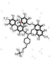 [2H]c1c([2H])c(F)c(F)c(CSc2c([2H])c(=O)c3c([2H])c(C)c([2H])c([2H])c3n2CC(=O)N(C2CCN(CCOC([2H])([2H])[2H])CC2)C([2H])([2H])c2c([2H])c([2H])c(-c3c([2H])c([2H])c(C(F)(F)F)c([2H])c3[2H])c([2H])c2[2H])c1[2H]